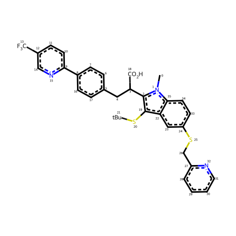 Cn1c(C(Cc2ccc(-c3ccc(C(F)(F)F)cn3)cc2)C(=O)O)c(SC(C)(C)C)c2cc(SCc3ccccn3)ccc21